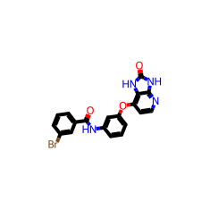 O=C(Nc1cccc(Oc2ccnc3[nH]c(=O)[nH]c23)c1)c1cccc(Br)c1